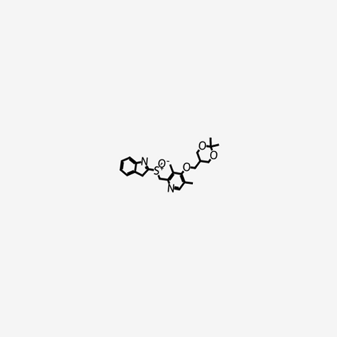 Cc1cnc(C[S@@+]([O-])C2=Nc3ccccc3C2)c(C)c1OCC1COC(C)(C)OC1